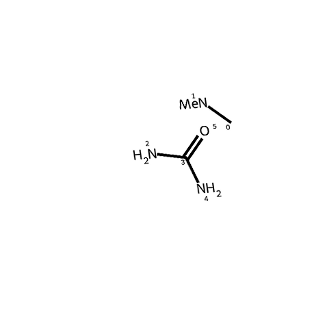 CNC.NC(N)=O